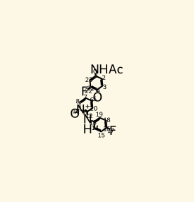 CC(=O)Nc1ccc(Oc2cc[n+]([O-])c(Nc3ccc(F)cc3)c2)c(F)c1